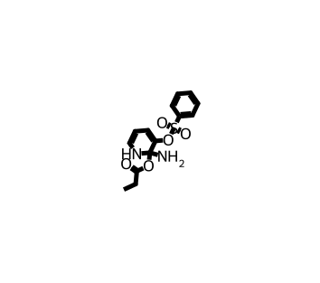 CCC(=O)OC1(N)NC=CC=C1OS(=O)(=O)c1ccccc1